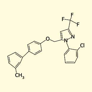 Cc1cccc(-c2ccc(OCc3cc(C(F)(F)F)nn3-c3ccccc3Cl)cc2)c1